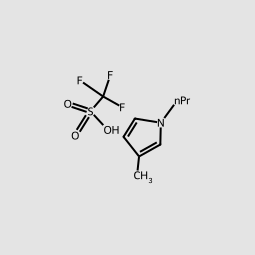 CCCn1ccc(C)c1.O=S(=O)(O)C(F)(F)F